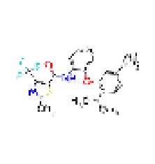 Cc1ccc(C(C)C)c(Oc2ccccc2NC(=O)c2sc(C)nc2C(F)(F)F)c1